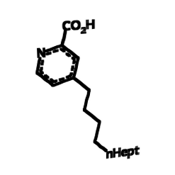 CCCCCCCCCCCc1ccnc(C(=O)O)c1